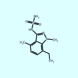 CCc1ccc(C)c2c(NS(N)(=O)=O)nn(C)c12